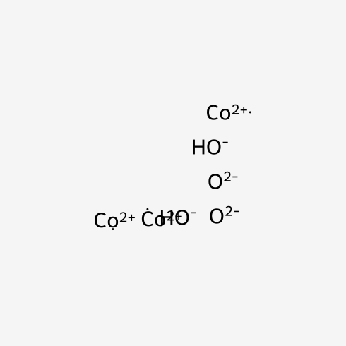 [Co+2].[Co+2].[Co+2].[O-2].[O-2].[OH-].[OH-]